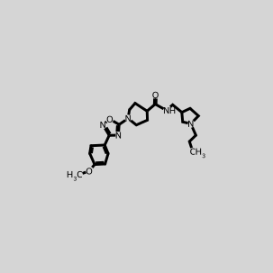 CCCN1CCC(CNC(=O)C2CCN(c3nc(-c4ccc(OC)cc4)no3)CC2)C1